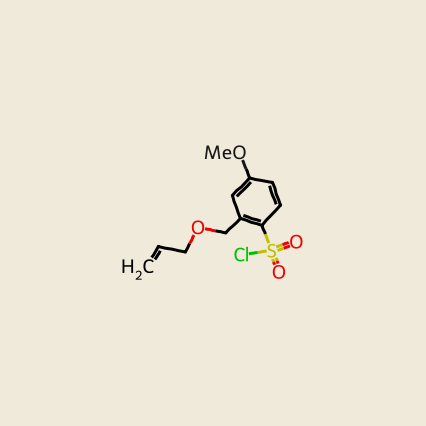 C=CCOCc1cc(OC)ccc1S(=O)(=O)Cl